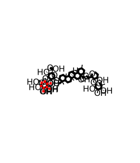 C[C@H]1CC[C@]2(C(=O)OCC3OCC[C@H](O)[C@H]3O[C@@H]3O[C@@H](C)[C@H](O)[C@@H](O)[C@H]3O)[C@H](O)C[C@]3(C)C(=CCC4[C@@]5(C)CC[C@H](O[C@@H]6O[C@H](C(=O)O)[C@@H](O)[C@H](O[C@@H]7OC[C@@H](O)[C@H](O)[C@H]7O)[C@H]6O[C@@H]6O[C@H](CO)[C@H](O)[C@H](O)[C@H]6O)[C@@](C)(C=O)C5CC[C@]43C)[C@@H]2C1